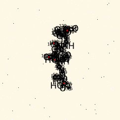 COc1ccc(S(=O)(=O)N(CC[C@H](Cc2ccc(NCc3ccccc3-n3nc4c(c3C(=O)OC(C)CN(C[C@@H](O)[C@H](Cc3ccc(N5CC[C@H](Oc6cc7ccccc7cc6C(=O)Nc6sc7c(c6C(=O)O)CC(C)(C)CC7)C5)cc3)NC(=O)O[C@H]3CO[C@@]5(C)OCC[C@@H]35)S(=O)(=O)c3ccc(OC)cc3)CC(C)(C)CC4)cc2)NC(=O)O[C@H]2CO[C@@]3(C)OCC[C@@H]23)CC(C)C)cc1